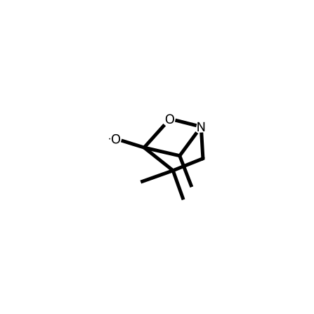 CC1N2CC(C)(C)C1([O])O2